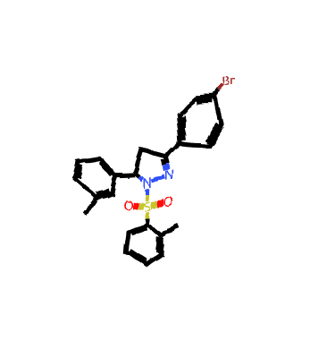 Cc1cccc(C2CC(c3ccc(Br)cc3)=NN2S(=O)(=O)c2ccccc2C)c1